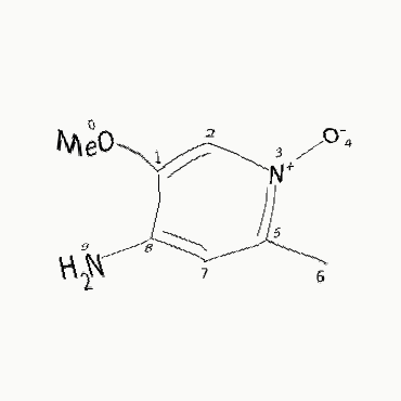 COc1c[n+]([O-])c(C)cc1N